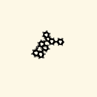 c1ccc(-c2ccc3c(c2)c2ccccc2n3-c2ccc3oc4cccc5cccc(c6cccc2c36)c54)cc1